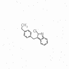 CCc1ccc(CC2=c3ccccc3=N[C]2Cl)cc1